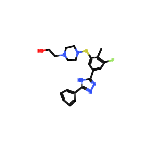 Cc1c(F)cc(-c2nnc(-c3ccccc3)[nH]2)cc1SN1CCN(CCO)CC1